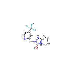 O=c1n(Cc2cc(C(F)(F)F)ccn2)nc2n1CCCC2